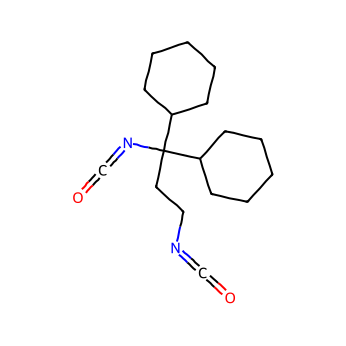 O=C=NCCC(N=C=O)(C1CCCCC1)C1CCCCC1